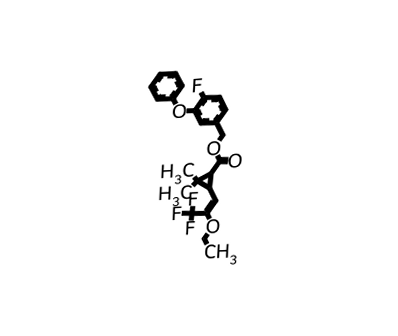 CCO/C(=C/C1C(C(=O)OCc2ccc(F)c(Oc3ccccc3)c2)C1(C)C)C(F)(F)F